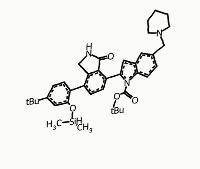 C[SiH](C)Oc1cc(C(C)(C)C)ccc1-c1ccc(-c2cc3cc(CN4CCCCC4)ccc3n2C(=O)OC(C)(C)C)c2c1CNC2=O